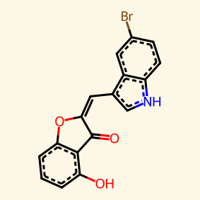 O=C1/C(=C\c2c[nH]c3ccc(Br)cc23)Oc2cccc(O)c21